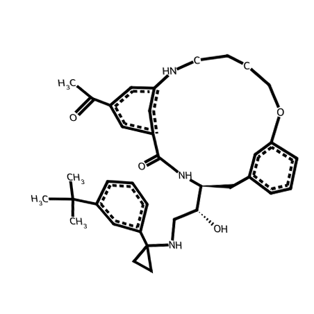 CC(=O)c1cc2cc(c1)C(=O)N[C@H]([C@H](O)CNC1(c3cccc(C(C)(C)C)c3)CC1)Cc1cccc(c1)OCCCCN2